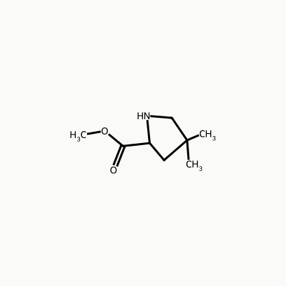 COC(=O)C1CC(C)(C)CN1